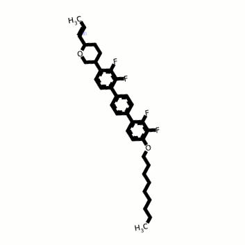 C/C=C/C1CCC(c2ccc(-c3ccc(-c4ccc(OCCCCCCCCC)c(F)c4F)cc3)c(F)c2F)CO1